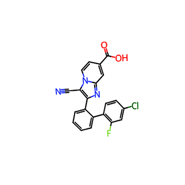 N#Cc1c(-c2ccccc2-c2ccc(Cl)cc2F)nc2cc(C(=O)O)ccn12